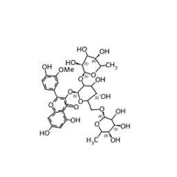 COc1cc(-c2oc3cc(O)cc(O)c3c(=O)c2O[C@@H]2OC(CO[C@@H]3OC(C)[C@H](O)[C@H](O)C3O)[C@@H](O)C(O)C2O[C@@H]2OC(C)[C@H](O)C(O)[C@@H]2O)ccc1O